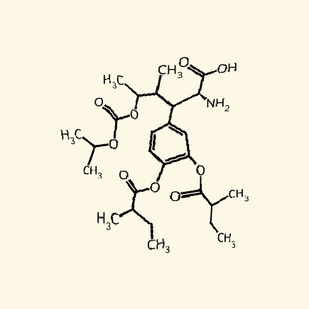 CCC(C)C(=O)Oc1ccc(C(C(C)C(C)OC(=O)OC(C)C)[C@H](N)C(=O)O)cc1OC(=O)C(C)CC